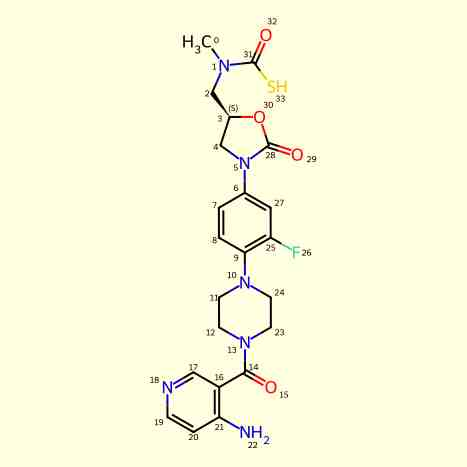 CN(C[C@@H]1CN(c2ccc(N3CCN(C(=O)c4cnccc4N)CC3)c(F)c2)C(=O)O1)C(=O)S